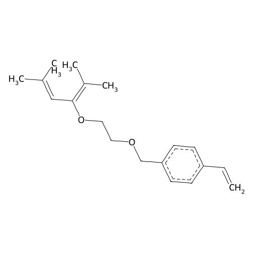 C=Cc1ccc(COCCOC(C=C(C)C)=C(C)C)cc1